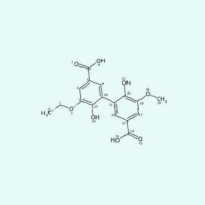 CCOc1cc(C(=O)O)cc(-c2cc(C(=O)O)cc(OC)c2O)c1O